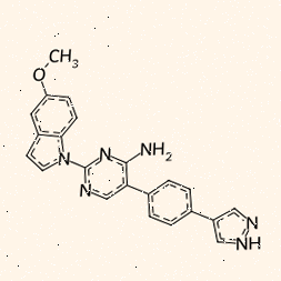 COc1ccc2c(ccn2-c2ncc(-c3ccc(-c4cn[nH]c4)cc3)c(N)n2)c1